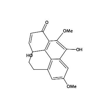 COc1cc2c3c4c(c(OC)c(O)c3c1)C(=O)C=CC4(O)CC2